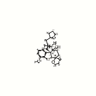 COc1ccc2c3c1OC1C4(CCC5(O)[C@@H](C2)N(CC2CCCO2)CC[C@]315)OCCO4